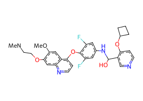 CNCCOc1cc2nccc(Oc3c(F)cc(NC(O)c4cnccc4OC4CCC4)cc3F)c2cc1OC